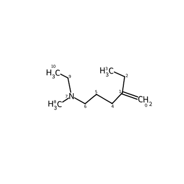 C=C(CC)CCCN(C)CC